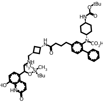 CC(C)(C)OC(=O)N[C@H]1CC[C@H](N(C(=O)O)c2cc(CCCC(=O)N[C@H]3C[C@H](CNCC(O[Si](C)(C)C(C)(C)C)c4ccc(O)c5[nH]c(=O)ccc45)C3)ccc2-c2ccccc2)CC1